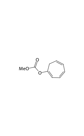 COC(=O)OC1=CC=CC=CC1